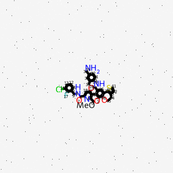 COC(=O)c1nc(C(=O)NCc2cccc(Cl)c2F)ccc1-c1cc2c(cc1C(=O)Nc1ccc(CN)cc1C)-c1sccc1CCO2